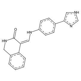 O=C1NCc2ccccc2/C1=C/Nc1ccc(-c2c[nH]cn2)cc1